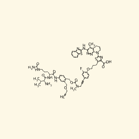 C#CCOCc1cc(NC(=O)C(CCCNC(N)=O)NC(=O)C(N)C(C)C)ccc1COC(=O)N(C)CC#Cc1ccc(OCCCc2sc(N3CCCc4c3nnc(Nc3nc5ccccc5s3)c4C)nc2C(=O)O)c(F)c1